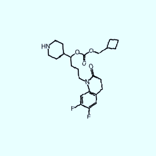 O=C(OCC1CCC1)OC(CCCN1C(=O)CCc2cc(F)c(F)cc21)C1CCNCC1